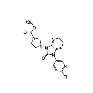 CC(C)(C)OC(=O)N1CC[C@@H](n2c(=O)n(-c3ccc(Cl)nc3)c3cccnc32)C1